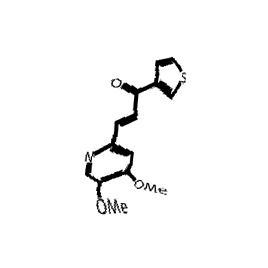 COc1cnc(C=CC(=O)c2ccsc2)cc1OC